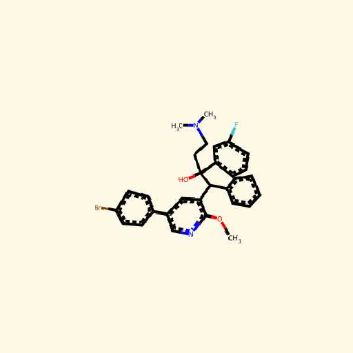 COc1ncc(-c2ccc(Br)cc2)cc1C(c1ccccc1)C(O)(CCN(C)C)c1cccc(F)c1